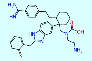 N=C(N)c1ccc(CCC2CCCCC2(CN(CCN)C(=O)O)c2ccc3[nH]c(CC4=CC=CCC4=S)nc3c2)cc1